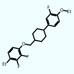 CCOc1ccc(C2CCC(COc3ccc(CC)c(F)c3F)CC2)cc1F